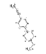 CC#Cc1ccc(N2CCB(CC)CC2)cc1